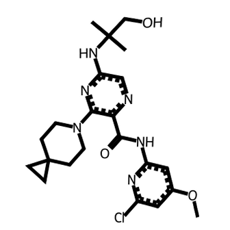 COc1cc(Cl)nc(NC(=O)c2ncc(NC(C)(C)CO)nc2N2CCC3(CC2)CC3)c1